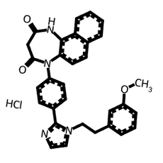 COc1cccc(CCn2ccnc2-c2ccc(N3C(=O)CC(=O)Nc4c3ccc3ccccc43)cc2)c1.Cl